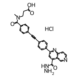 CN(CCC(=O)O)C(=O)c1ccc(C#Cc2ccc(-c3cc(C(=O)NN)c4cnccc4n3)cc2)cc1.Cl